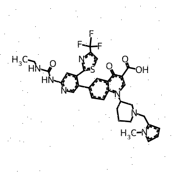 CCNC(=O)Nc1cc(-c2nc(C(F)(F)F)cs2)c(-c2ccc3c(c2)c(=O)c(C(=O)O)cn3[C@@H]2CCCN(Cc3cccn3C)C2)cn1